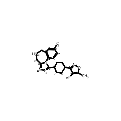 Cc1onc(C2CCC(c3nnc4n3-c3ccc(Cl)cc3CNC4)CC2)c1F